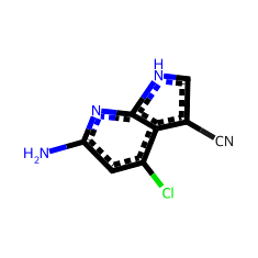 N#Cc1c[nH]c2nc(N)cc(Cl)c12